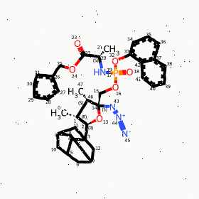 C[C@H]1[C@H](C23CC4CC(CC(C4)C2)C3)O[C@@](COP(=O)(N[C@@H](C)C(=O)OCc2ccccc2)Oc2cccc3ccccc23)(N=[N+]=[N-])[C@H]1C